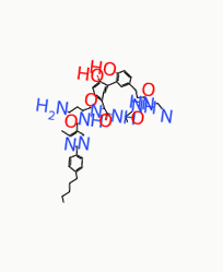 CCCCCc1ccc(-c2ncc(C(=O)NC(CCN)C(=O)N(C)C3C(=O)NC(C)C(=O)NC(C(=O)NCC#N)Cc4ccc(O)c(c4)-c4cc3ccc4O)c(C)n2)cc1